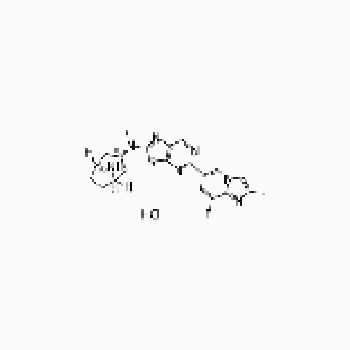 Cc1cn2cc(-c3ncc4nc(N(C)[C@@H]5C[C@H]6CC[C@@H](C5)N6)sc4n3)cc(F)c2n1.Cl